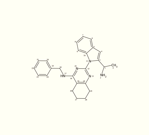 CC(N)c1cc2ccccc2n1-c1nc2c(c(NCc3ccccc3)n1)CCCC2